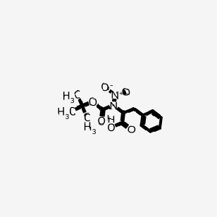 CC(C)(C)OC(=O)N(C(Cc1ccccc1)C(=O)O)[N+](=O)[O-]